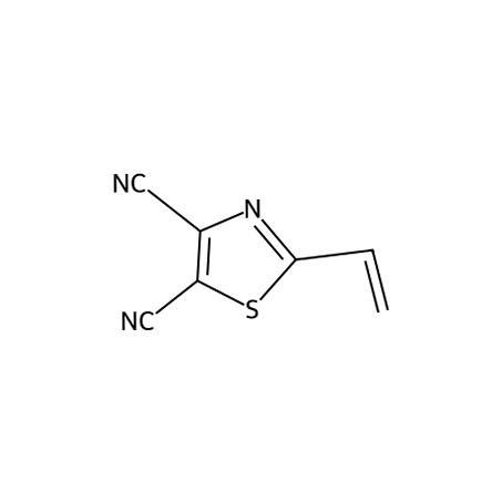 C=Cc1nc(C#N)c(C#N)s1